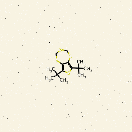 CC(C)(C)c1sc(C(C)(C)C)c2c1SCSCS2